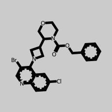 O=C(OCc1ccccc1)N1CCOCC1C1CN(c2c(Br)cnc3ccc(Cl)cc23)C1